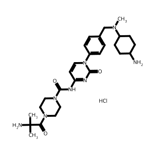 CN(Cc1ccc(-n2ccc(NC(=O)N3CCN(C(=O)C(C)(C)N)CC3)nc2=O)cc1)C1CCC(N)CC1.Cl